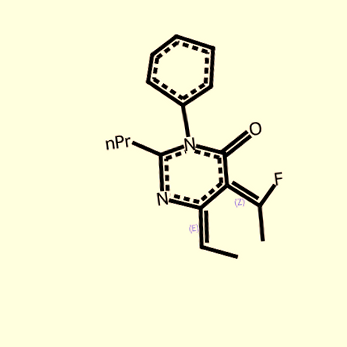 C/C=c1/nc(CCC)n(-c2ccccc2)c(=O)/c1=C(/C)F